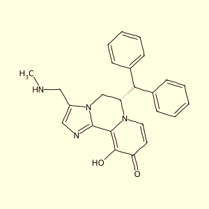 CNCc1cnc2n1C[C@H](C(c1ccccc1)c1ccccc1)n1ccc(=O)c(O)c1-2